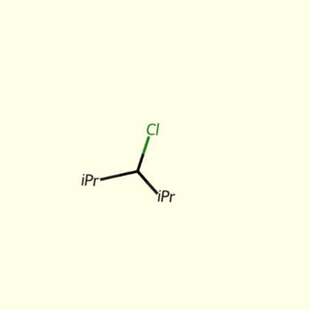 CC(C)C(Cl)C(C)C